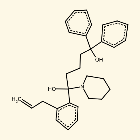 C=CCc1ccccc1C(O)(CCCC(O)(c1ccccc1)c1ccccc1)N1CCCCC1